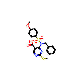 COc1ccc(S(=O)(=O)N(Cc2ccccc2)c2nc(SC)ncc2C(=O)O)cc1